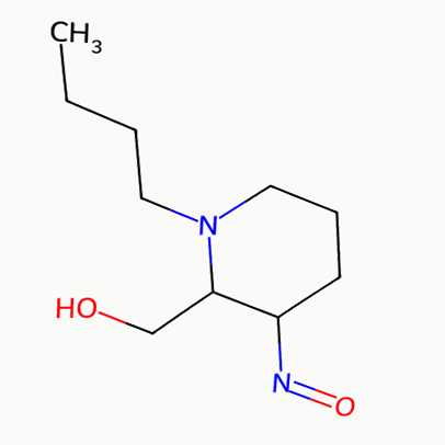 CCCCN1CCCC(N=O)C1CO